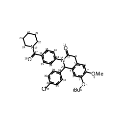 CCC(C)Oc1cc2c(cc1OC)CC(=O)N(c1ccc(C(=O)N3CCCCC3)cc1)C2c1ccc(Cl)cc1